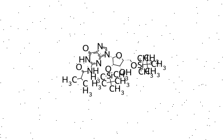 CC(C)C(=O)Nc1nc2c(ncn2[C@@H]2O[C@H](CO[Si](C)(C)C(C)(C)C)[C@H](O)[C@@H]2O[Si](C)(C)C(C)(C)C)c(=O)[nH]1